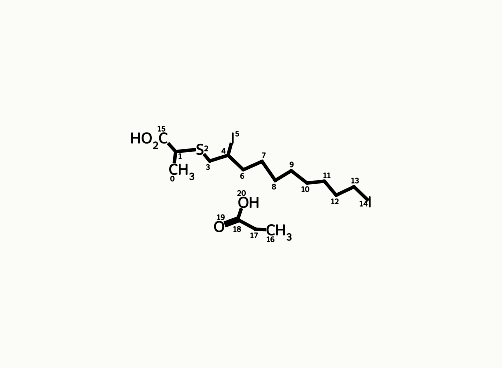 CC(SCC(I)CCCCCCCCI)C(=O)O.CCC(=O)O